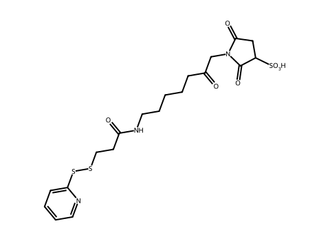 O=C(CCCCCNC(=O)CCSSc1ccccn1)CN1C(=O)CC(S(=O)(=O)O)C1=O